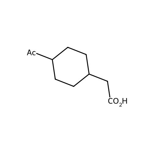 CC(=O)C1CCC(CC(=O)O)CC1